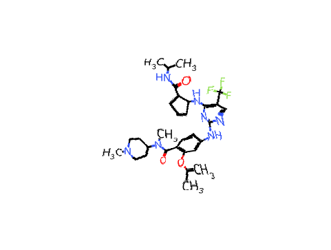 CC(C)NC(=O)C1CCCC1Nc1nc(Nc2ccc(C(=O)N(C)C3CCN(C)CC3)c(OC(C)C)c2)ncc1C(F)(F)F